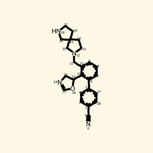 N#Cc1ccc(-c2cccc(CN3CCC4(CCNC4)C3)c2C2CN=CO2)cc1